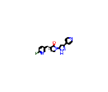 O=C1[C@@H](Cc2ccc(F)nc2)CCN1c1cc(-c2ccncc2)n[nH]1